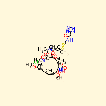 COc1cc2cc(c1Cl)N(C)C(=O)C[C@H](OC(=O)[C@H](C)N(C)C(=O)CCC(C)(C)SSCCNC(=O)Cc1nncnn1)[C@]1(C)O[C@H]1[C@H](C)[C@@H]1C[C@@](O)(NC(=O)O1)[C@H](OC)/C=C/C=C(\C)C2